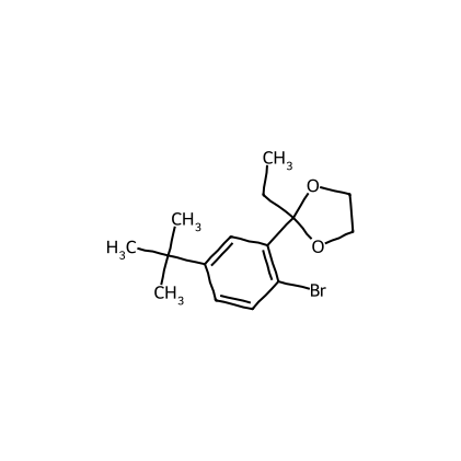 CCC1(c2cc(C(C)(C)C)ccc2Br)OCCO1